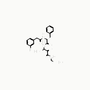 CC(NC(=O)[C@H](Cc1ccccc1)NC(=O)Cc1cccc(F)c1)C(=O)C(=O)NCC=O